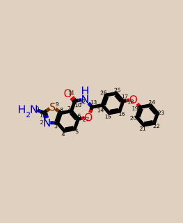 Nc1nc2ccc3c(c2s1)C(=O)NC(c1ccc(Oc2ccccc2)cc1)O3